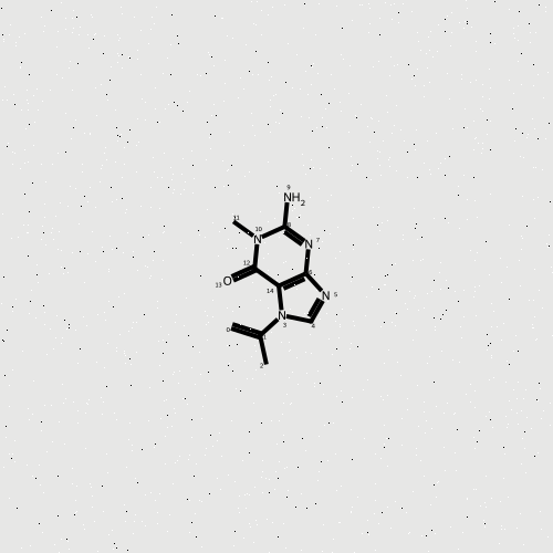 C=C(C)n1cnc2nc(N)n(C)c(=O)c21